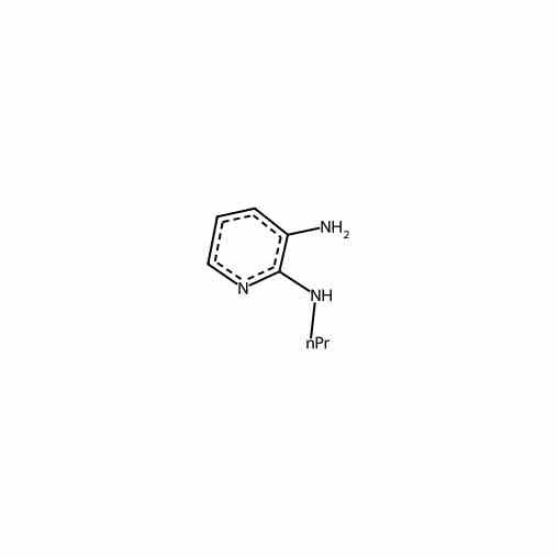 CCCNc1ncccc1N